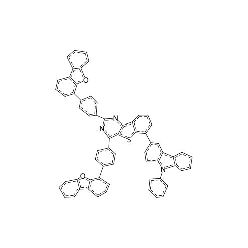 c1ccc(-n2c3ccccc3c3cc(-c4cccc5c4sc4c(-c6ccc(-c7cccc8c7oc7ccccc78)cc6)nc(-c6ccc(-c7cccc8c7oc7ccccc78)cc6)nc45)ccc32)cc1